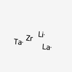 [La].[Li].[Ta].[Zr]